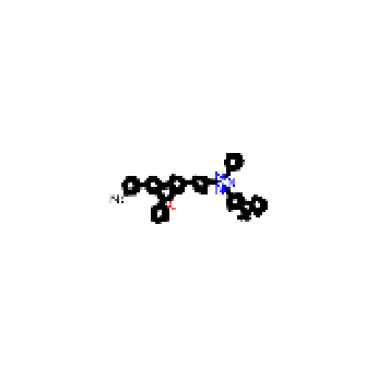 CC1(C)c2ccccc2-c2cc(-c3nc(-c4ccccc4)nc(-c4ccc(-c5ccc6c7ccc(-c8cccc(C#N)c8)cc7c7c8ccccc8oc7c6c5)cc4)n3)ccc21